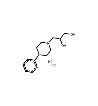 Cl.Cl.OCC(O)CN1CCN(c2ccccn2)CC1